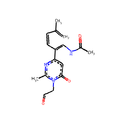 C=C(C)/C=C\C(=C\NC(C)=O)c1cc(=O)n(CC=O)c(C)n1